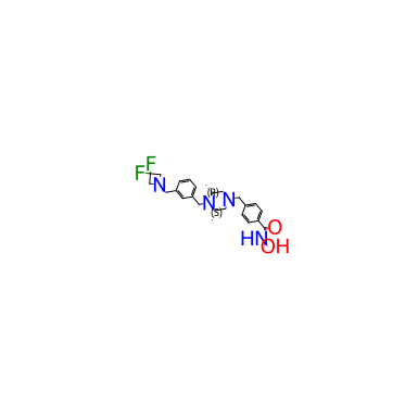 C[C@@H]1CN(Cc2ccc(C(=O)NO)cc2)C[C@H](C)N1Cc1cccc(CN2CC(F)(F)C2)c1